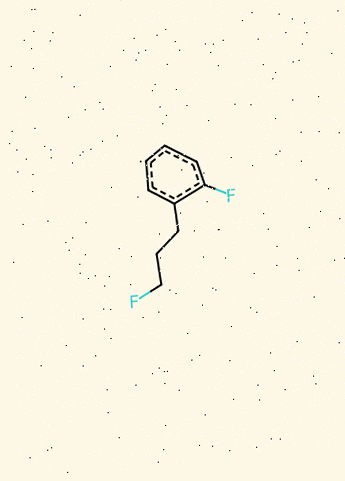 FCCCc1c[c]ccc1F